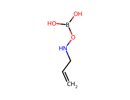 C=CCNOB(O)O